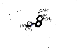 COC[C@H]1Cc2c(/C=C/C(C)(C)O)cccc2[C@H](C)N1